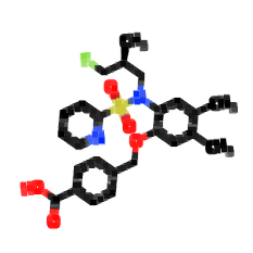 Cc1cc(OCc2ccc(C(=O)O)cc2)c(N(C[C@H](C)CF)S(=O)(=O)c2ccccn2)cc1C